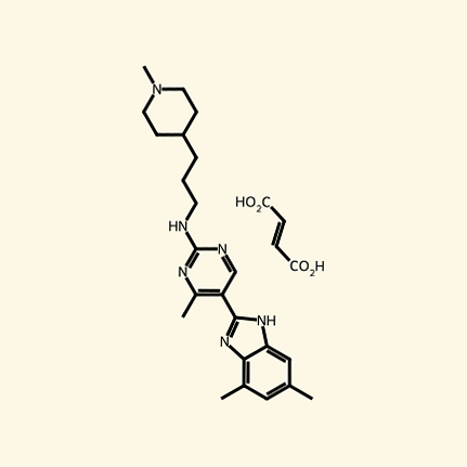 Cc1cc(C)c2nc(-c3cnc(NCCCC4CCN(C)CC4)nc3C)[nH]c2c1.O=C(O)/C=C/C(=O)O